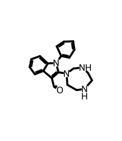 O=Cc1c(N2CCNCCNC2)n(-c2ccccc2)c2ccccc12